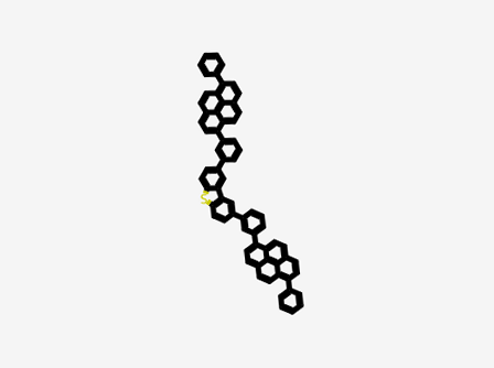 c1ccc(-c2ccc3ccc4c(-c5cccc(-c6ccc7sc8ccc(-c9cccc(-c%10ccc%11ccc%12c(-c%13ccccc%13)ccc%13ccc%10c%11c%13%12)c9)cc8c7c6)c5)ccc5ccc2c3c54)cc1